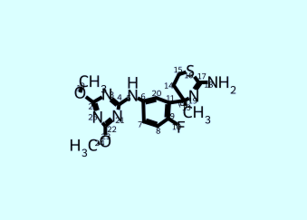 COc1nc(Nc2ccc(F)c([C@]3(C)CCSC(N)=N3)c2)nc(OC)n1